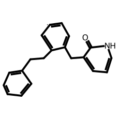 O=c1[nH]cccc1Cc1cc[c]cc1CCc1ccccc1